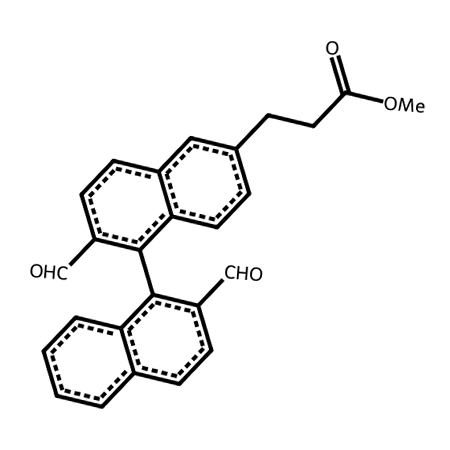 COC(=O)CCc1ccc2c(-c3c(C=O)ccc4ccccc34)c(C=O)ccc2c1